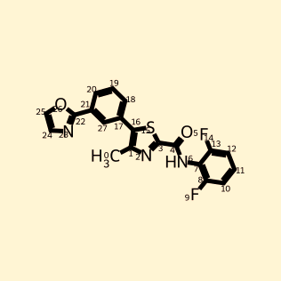 Cc1nc(C(=O)Nc2c(F)cccc2F)sc1-c1cccc(-c2ncco2)c1